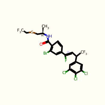 C[C@H](CSCC(F)(F)F)NC(=O)c1ccc(/C(F)=C/C(c2cc(Cl)c(Cl)c(Cl)c2)C(F)(F)F)cc1Br